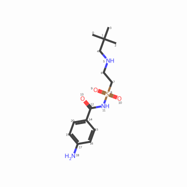 CC(C)(C)CNCCS(=O)(=O)NC(=O)c1ccc(N)cc1